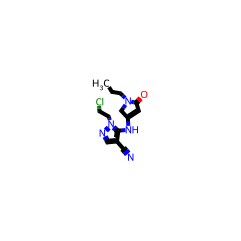 CCCN1CC(Nc2c(C#N)cnn2CCCl)=CC1=O